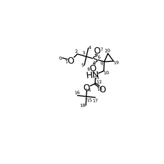 COCC(C)(C)S(=O)(=O)C1(CNC(=O)OC(C)(C)C)CC1